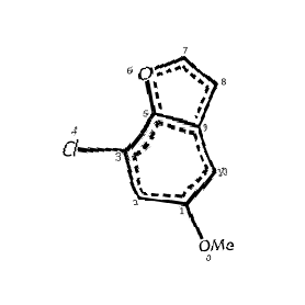 COc1cc(Cl)c2oc[c]c2c1